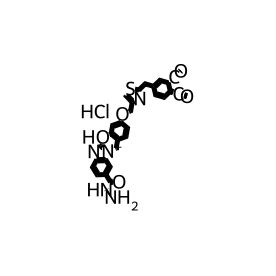 Cl.NNC(=O)c1ccc2c(c1)[N+](=Cc1ccc(OCc3csc(Cc4ccc(=C=O)c(=C=O)c4)n3)cc1O)C=N2